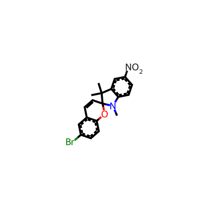 CN1c2ccc([N+](=O)[O-])cc2C(C)(C)C12C=Cc1cc(Br)ccc1O2